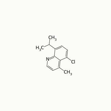 Cc1ccnc2c(C(C)C)ccc(Cl)c12